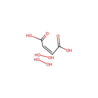 O=C(O)/C=C\C(=O)O.OO.OO